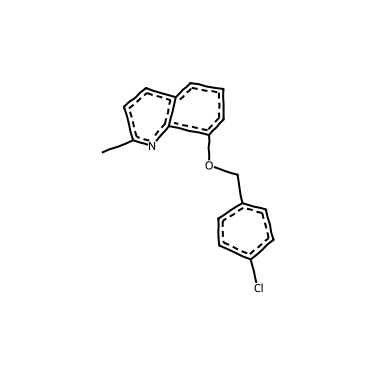 Cc1ccc2cccc(OCc3ccc(Cl)cc3)c2n1